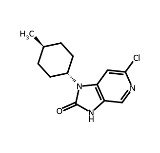 C[C@H]1CC[C@H](n2c(=O)[nH]c3cnc(Cl)cc32)CC1